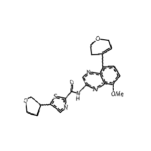 COc1ccc(C2=CCOCC2)c2ncc(NC(=O)c3ncc(C4CCOC4)s3)nc12